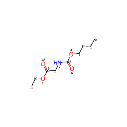 CCCCOC(=O)NCC(=O)OCC